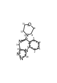 c1ccc2c(c1)C(N1CCOCC1)=NCc1nncn1-2